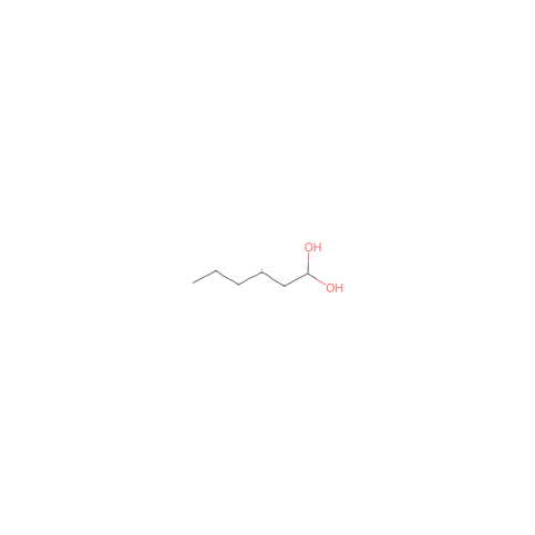 CCC[CH]CC(O)O